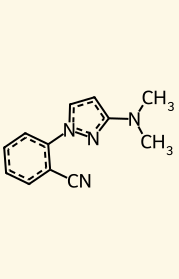 CN(C)c1ccn(-c2ccccc2C#N)n1